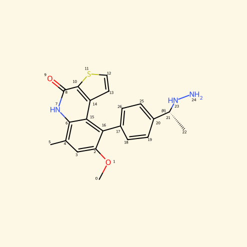 COc1cc(C)c2[nH]c(=O)c3sccc3c2c1-c1ccc([C@@H](C)NN)cc1